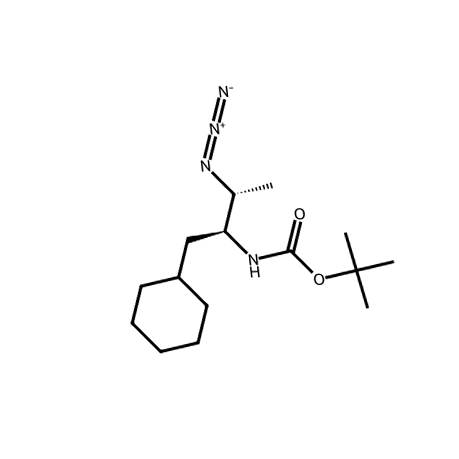 C[C@@H](N=[N+]=[N-])[C@H](CC1CCCCC1)NC(=O)OC(C)(C)C